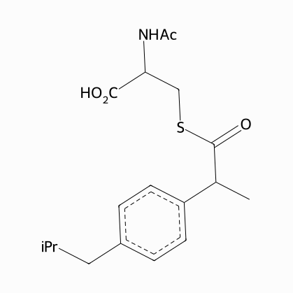 CC(=O)NC(CSC(=O)C(C)c1ccc(CC(C)C)cc1)C(=O)O